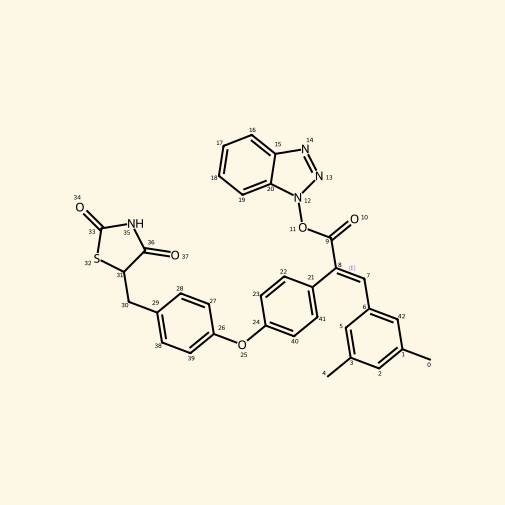 Cc1cc(C)cc(/C=C(/C(=O)On2nnc3ccccc32)c2ccc(Oc3ccc(CC4SC(=O)NC4=O)cc3)cc2)c1